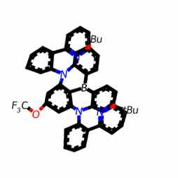 CC(C)(C)c1ccc2c(c1)N(c1ccccc1-c1ccccn1)c1cc(OC(F)(F)F)cc3c1B2c1ccc(C(C)(C)C)cc1N3c1ccccc1-c1ccccn1